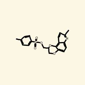 Cc1ccc(S(=O)(=O)OCC2COc3ccc4nc(C)ccc4c3O2)cc1